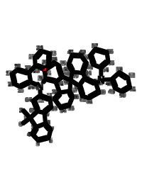 CC1(C)c2ccccc2-c2ccc(N(c3ccccc3-c3ccccc3)c3cccc4c3-c3ccccc3C43c4ccccc4-c4c(N(c5ccccc5)c5ccccc5)cccc43)cc21